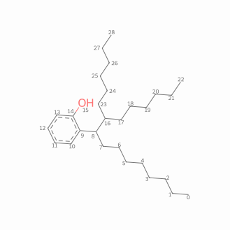 CCCCCCCCC(c1ccccc1O)C(CCCCCC)CCCCCC